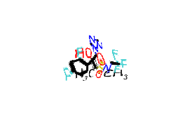 C[C@H]([C@](O)(Cn1cncn1)c1ccc(F)cc1F)S(=O)(=O)N(C)CC(F)(F)F